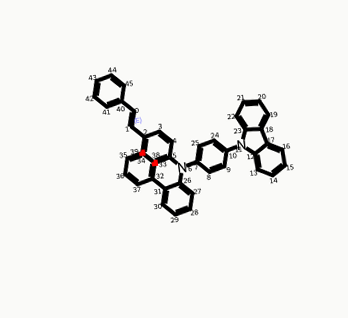 C(=C\c1ccc(N(c2ccc(-n3c4ccccc4c4ccccc43)cc2)c2ccccc2-c2ccccc2)cc1)/c1ccccc1